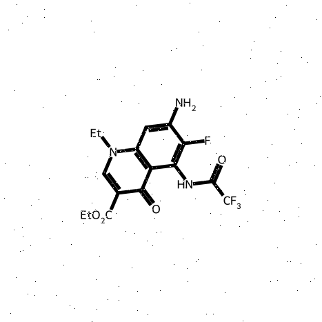 CCOC(=O)c1cn(CC)c2cc(N)c(F)c(NC(=O)C(F)(F)F)c2c1=O